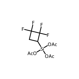 CC(=O)O[Si](OC(C)=O)(OC(C)=O)C1CC(F)(F)C1(F)F